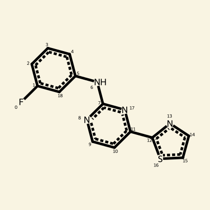 Fc1cccc(Nc2nccc(-c3nccs3)n2)c1